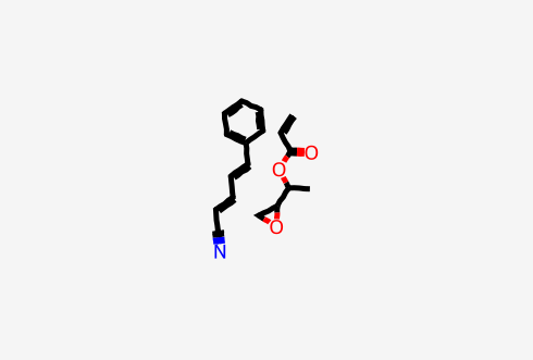 C=CC(=O)OC(C)C1CO1.N#CC=CC=Cc1ccccc1